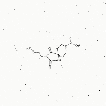 COCCN1C(=O)NC2(CCN(C(=O)O)CC2)C1=O